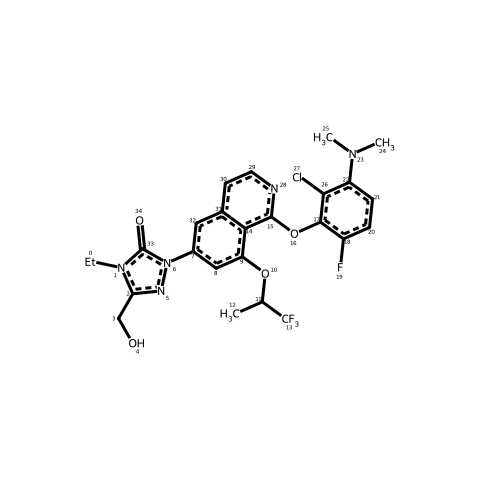 CCn1c(CO)nn(-c2cc(OC(C)C(F)(F)F)c3c(Oc4c(F)ccc(N(C)C)c4Cl)nccc3c2)c1=O